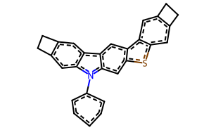 c1ccc(-n2c3cc4c(cc3c3cc5c(cc32)sc2cc3c(cc25)CC3)CC4)cc1